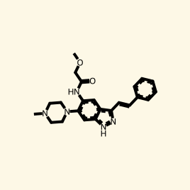 COCC(=O)Nc1cc2c(/C=C/c3ccccc3)n[nH]c2cc1N1CCN(C)CC1